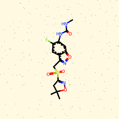 CNC(=O)Nc1cc2onc(CS(=O)(=O)C3=NOC(C)(C)C3)c2cc1F